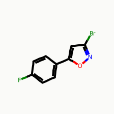 Fc1ccc(-c2cc(Br)no2)cc1